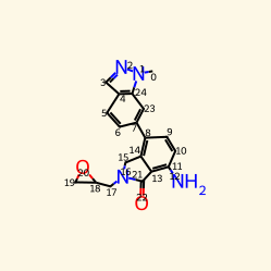 Cn1ncc2ccc(-c3ccc(N)c4c3CN(CC3CO3)C4=O)cc21